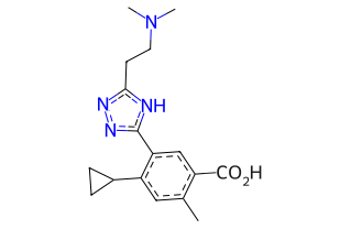 Cc1cc(C2CC2)c(-c2nnc(CCN(C)C)[nH]2)cc1C(=O)O